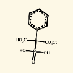 CCOC(=O)C(C(=O)O)(c1ccccc1)P(=O)(O)O